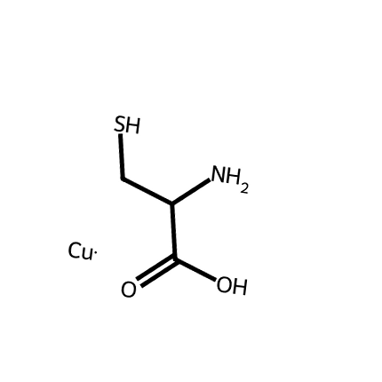 NC(CS)C(=O)O.[Cu]